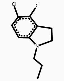 CCCN1CCc2c1ccc(Cl)c2Cl